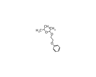 CC(C)OC(C)OCCOc1ccccc1